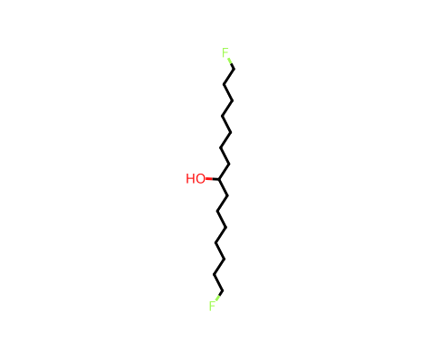 OC(CCCCCCCF)CCCCCCCF